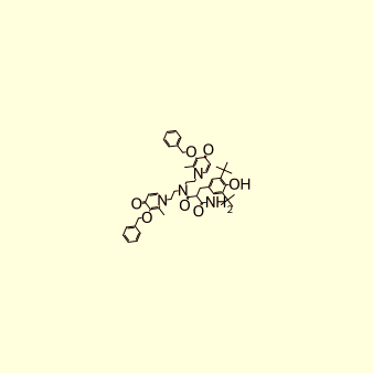 Cc1c(OCc2ccccc2)c(=O)ccn1CCN(CCn1ccc(=O)c(OCc2ccccc2)c1C)C(=O)C(Cc1cc(C(C)(C)C)c(O)c(C(C)(C)C)c1)C(N)=O